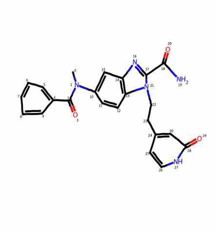 CN(C(=O)c1ccccc1)c1ccc2c(c1)nc(C(N)=O)n2CCc1cc[nH]c(=O)c1